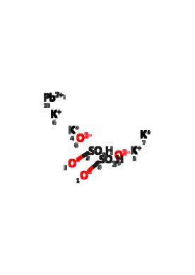 O=S(=O)([O-])O.O=S(=O)([O-])O.[K+].[K+].[K+].[K+].[O-2].[O-2].[Pb+2]